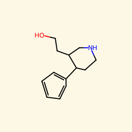 OCCC1CNCCC1c1ccccc1